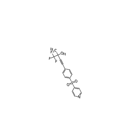 CC(O)(C#Cc1ccc(S(=O)(=O)c2ccncc2)cc1)C(F)(F)F